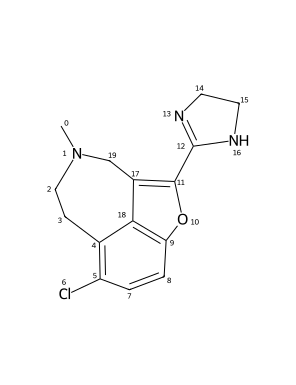 CN1CCc2c(Cl)ccc3oc(C4=NCCN4)c(c23)C1